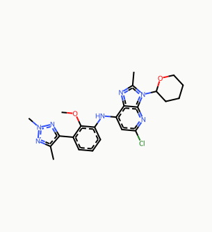 COc1c(Nc2cc(Cl)nc3c2nc(C)n3C2CCCCO2)cccc1-c1nn(C)nc1C